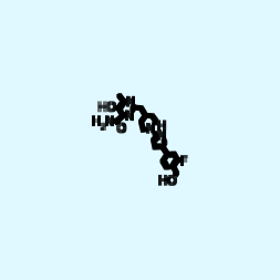 Cc1nc(CC2CCN(C3=CC=C(c4ccc(CO)c(F)c4)CN3)CC2)nc(C(N)=O)c1O